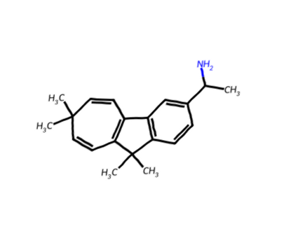 CC(N)c1ccc2c(c1)C1=C(C=CC(C)(C)C=C1)C2(C)C